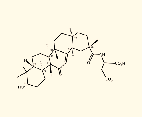 CC1(C)[C@@H](O)CC[C@]2(C)[C@H]3C(=O)C=C4[C@@H]5C[C@@](C)(C(=O)NC(CC(=O)O)C(=O)O)CC[C@]5(C)CC[C@@]4(C)[C@]3(C)CC[C@@H]12